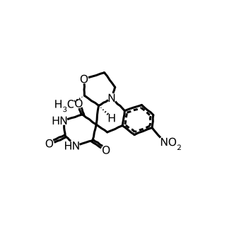 C[C@@H]1OCCN2c3ccc([N+](=O)[O-])cc3CC3(C(=O)NC(=O)NC3=O)[C@@H]12